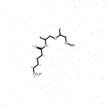 CC(C)OCC(C)OCC(C)OC(=O)CCCCC(=O)O